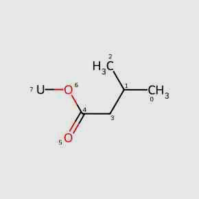 CC(C)CC(=O)[O][U]